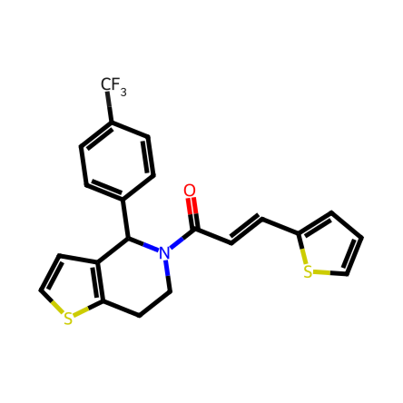 O=C(C=Cc1cccs1)N1CCc2sccc2C1c1ccc(C(F)(F)F)cc1